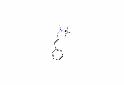 CN(CC=Cc1ccccc1)[Si](C)(C)C